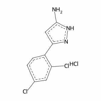 Cl.Nc1cc(-c2ccc(Cl)cc2Cl)n[nH]1